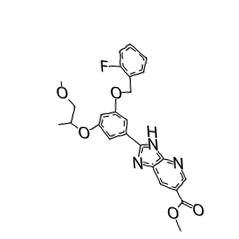 COCC(C)Oc1cc(OCc2ccccc2F)cc(-c2nc3cc(C(=O)OC)cnc3[nH]2)c1